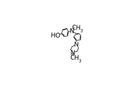 CN1CCN(c2cccc(N(C)c3ccc(O)cc3)c2)CC1